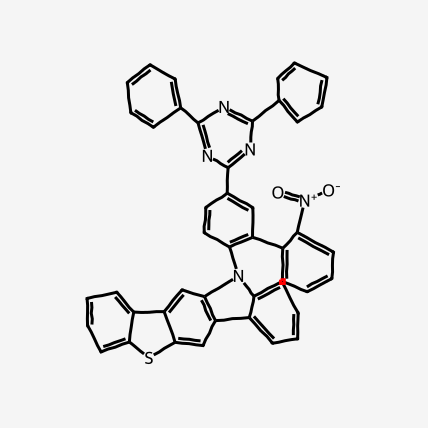 O=[N+]([O-])c1ccccc1-c1cc(-c2nc(-c3ccccc3)nc(-c3ccccc3)n2)ccc1-n1c2ccccc2c2cc3sc4ccccc4c3cc21